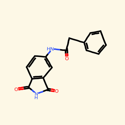 O=C(Cc1ccccc1)Nc1ccc2c(c1)C(=O)NC2=O